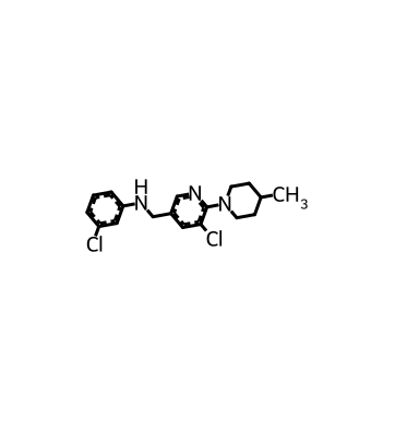 CC1CCN(c2ncc(CNc3cccc(Cl)c3)cc2Cl)CC1